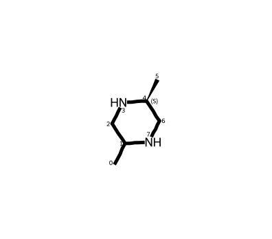 CC1CN[C@@H](C)CN1